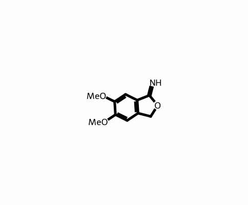 COc1cc2c(cc1OC)C(=N)OC2